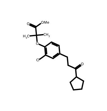 COC(=O)C(C)(C)Oc1ccc(CCC(=O)C2CCCC2)cc1Cl